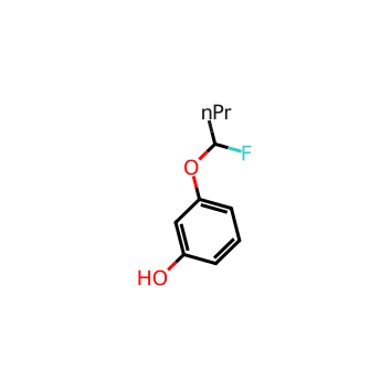 CCCC(F)Oc1cccc(O)c1